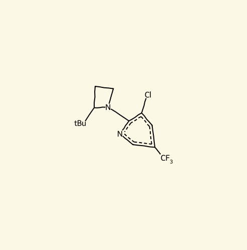 CC(C)(C)C1CCN1c1ncc(C(F)(F)F)cc1Cl